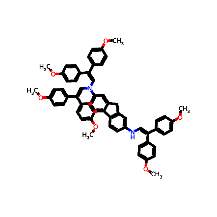 COc1ccc(C(=CNc2ccc3c(c2)Cc2cc(N(C=C(c4ccc(OC)cc4)c4ccc(OC)cc4)C=C(c4ccc(OC)cc4)c4ccc(OC)cc4)ccc2-3)c2ccc(OC)cc2)cc1